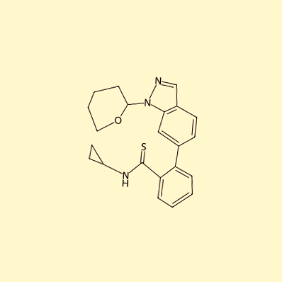 S=C(NC1CC1)c1ccccc1-c1ccc2cnn(C3CCCCO3)c2c1